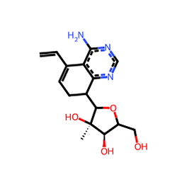 C=CC1=CCC(C2OC(CO)[C@@H](O)[C@@]2(C)O)c2ncnc(N)c21